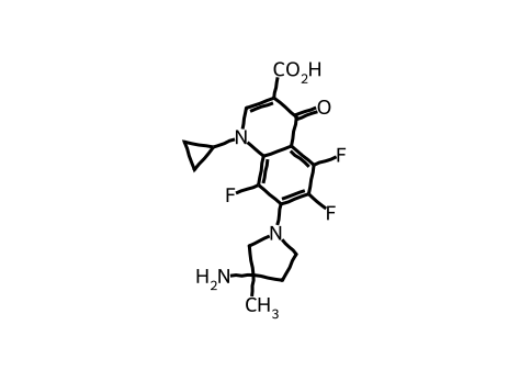 CC1(N)CCN(c2c(F)c(F)c3c(=O)c(C(=O)O)cn(C4CC4)c3c2F)C1